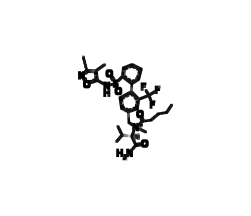 CCCCC(=O)[N+](C)(Cc1ccc(-c2ccccc2S(=O)(=O)Nc2onc(C)c2C)c(C(F)(F)F)c1)[C@H](C(N)=O)C(C)C